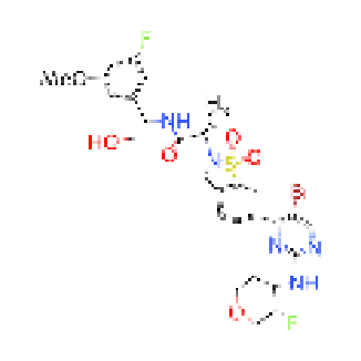 COc1cc(F)cc([C@@H](CO)NC(=O)[C@@H](C)N2Cc3ccc(-c4nc(NC5CCOC[C@H]5F)ncc4Br)cc3S2(=O)=O)c1